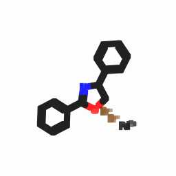 [Br-].[Br-].[Pd+2].c1ccc(C2=NC(c3ccccc3)CO2)cc1